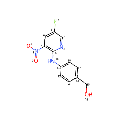 O=[N+]([O-])c1cc(F)cnc1Nc1ccc(CO)cc1